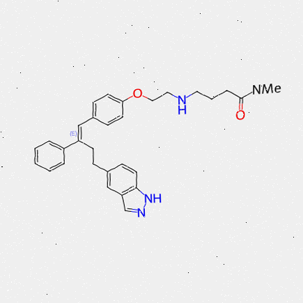 CNC(=O)CCCNCCOc1ccc(/C=C(\CCc2ccc3[nH]ncc3c2)c2ccccc2)cc1